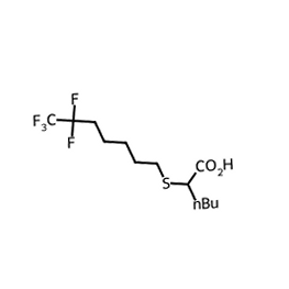 CCCCC(SCCCCCC(F)(F)C(F)(F)F)C(=O)O